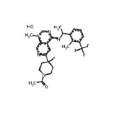 CC(=O)N1CCC(F)(c2cc3c(=NC(C)c4cccc(C(F)(F)F)c4C)ncn(C)c3cn2)CC1.Cl